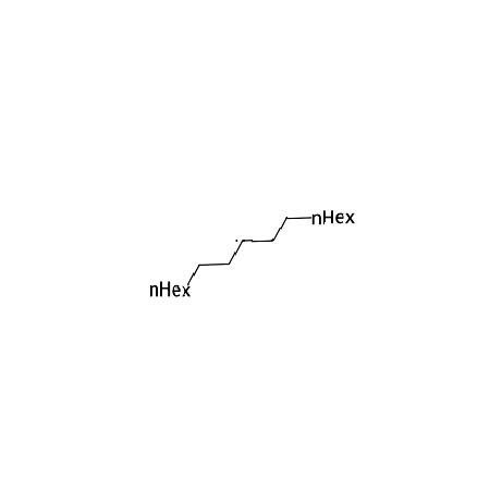 [CH2]CCCCCCC[CH]CCCCCCCC